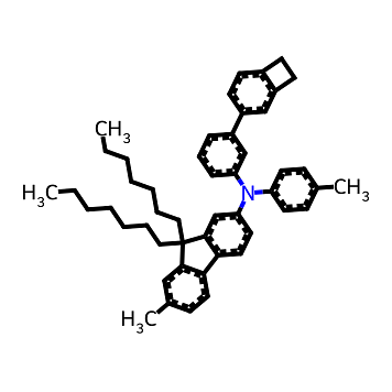 CCCCCCCC1(CCCCCCC)c2cc(C)ccc2-c2ccc(N(c3ccc(C)cc3)c3cccc(-c4ccc5c(c4)CC5)c3)cc21